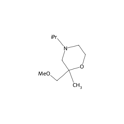 COCC1(C)CN(C(C)C)CCO1